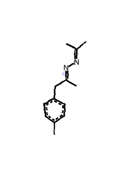 CC(C)=N/N=C(\C)Cc1ccc(C)cc1